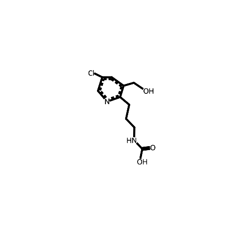 O=C(O)NCCCc1ncc(Cl)cc1CO